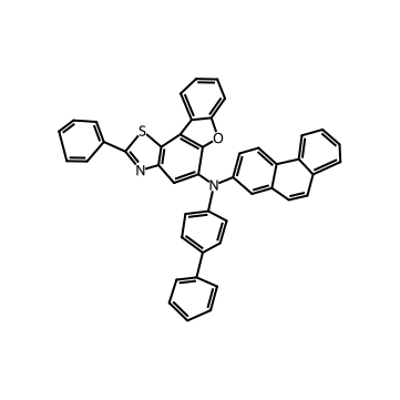 c1ccc(-c2ccc(N(c3ccc4c(ccc5ccccc54)c3)c3cc4nc(-c5ccccc5)sc4c4c3oc3ccccc34)cc2)cc1